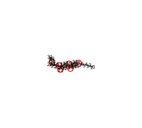 CCCCCCCCOc1ccc(C(=O)Oc2ccc(C(=O)OCCCC(C)OCCC)cc2)cc1